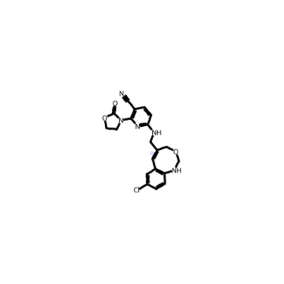 N#Cc1ccc(NC/C2=C/c3cc(Cl)ccc3NCOC2)nc1N1CCOC1=O